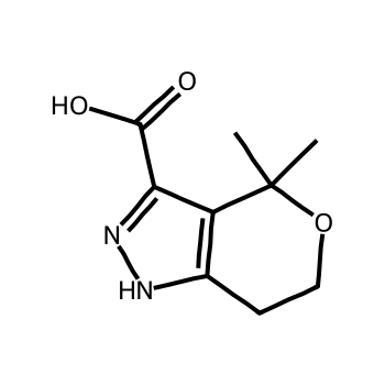 CC1(C)OCCc2[nH]nc(C(=O)O)c21